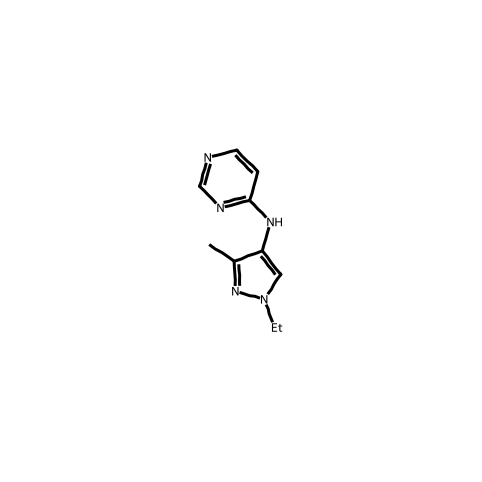 CCn1cc(Nc2ccncn2)c(C)n1